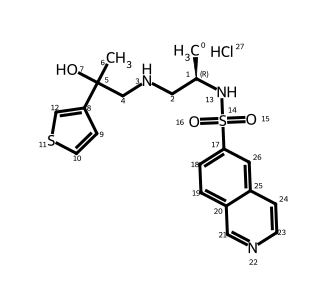 C[C@H](CNCC(C)(O)c1ccsc1)NS(=O)(=O)c1ccc2cnccc2c1.Cl